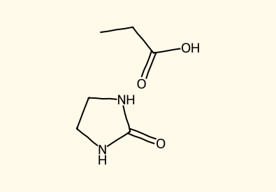 CCC(=O)O.O=C1NCCN1